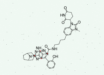 Cn1c(=O)n(C2CCC(=O)NC2=O)c2ccc(CCCCNC(=O)Cc3cnc(N4C5CCC4CN(c4cc(-c6ccccc6O)nnc4N)C5)nc3)cc21